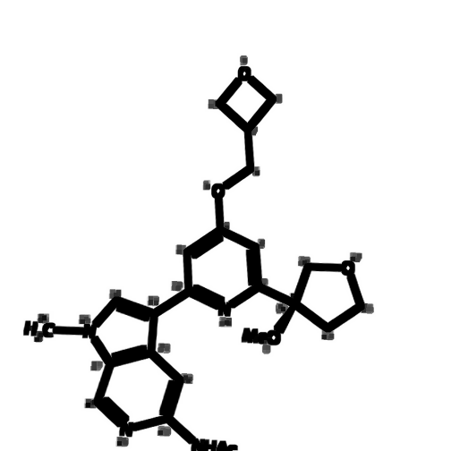 CO[C@]1(c2cc(OCC3COC3)cc(-c3cn(C)c4cnc(NC(C)=O)cc34)n2)CCOC1